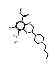 CCCCN1CCC(C2COc3c(C(=O)OC)cc(Cl)c(N)c3O2)CC1.Cl